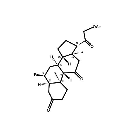 CC(=O)OCC(=O)[C@H]1CC[C@H]2[C@@H]3C[C@H](F)[C@@H]4CC(=O)CC[C@]4(C)[C@H]3C(=O)C[C@]12C